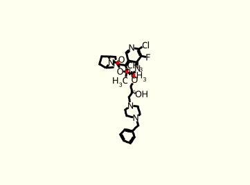 CC(C)(C)OC(=O)N1C2CCC1CN(c1nc(OC[C@H](O)CN3CCN(Cc4ccccc4)CC3)nc3c(F)c(Cl)ncc13)C2